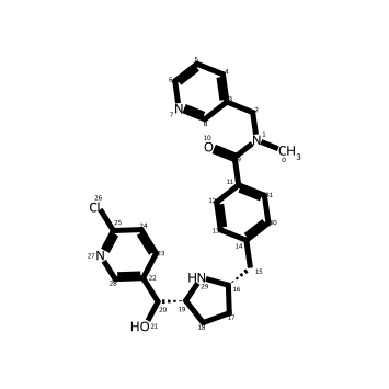 CN(Cc1cccnc1)C(=O)c1ccc(C[C@@H]2CC[C@H](C(O)c3ccc(Cl)nc3)N2)cc1